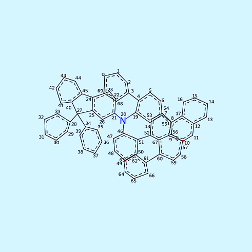 c1ccc(-c2ccc(-c3cccc4ccccc34)cc2N(c2ccc3c(c2)C(c2ccccc2)(c2ccccc2)c2ccccc2-3)c2ccccc2-c2cccc3cccc(-c4ccccc4)c23)cc1